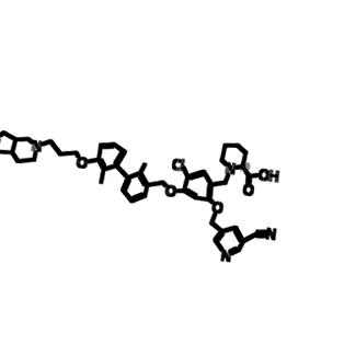 Cc1c(COc2cc(OCc3cncc(C#N)c3)c(CN3CCCC[C@H]3C(=O)O)cc2Cl)cccc1-c1cccc(OCCCN2CCC3COCC3C2)c1C